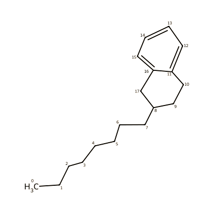 CCCCCCCCC1CCc2ccccc2C1